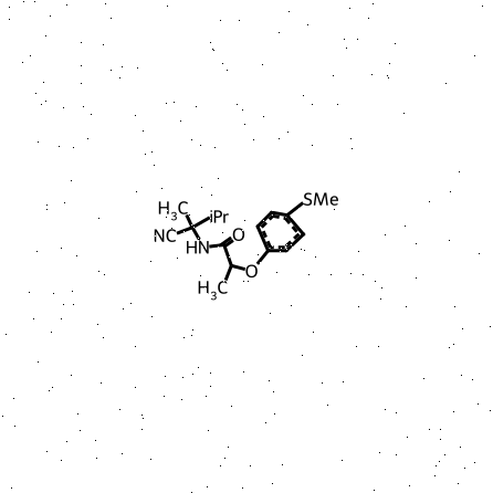 CSc1ccc(OC(C)C(=O)NC(C)(C#N)C(C)C)cc1